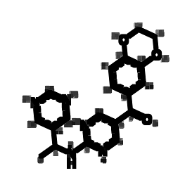 CC(Nc1ncc(C(=O)c2ccc3c(c2)OCCO3)cn1)c1cncnc1